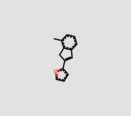 Cc1cccc2c1[CH]C(c1ccco1)=C2